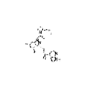 O=C(c1ccnc2[nH]ccc12)N1CC(c2nn(CC(=O)N3CCC[C@H]3C(F)(F)F)c3cc(F)cc(F)c23)C1